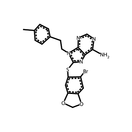 Cc1ccc(CCn2c(Sc3cc4c(cc3Br)OCO4)nc3c(N)ncnc32)cc1